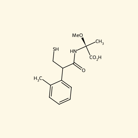 CO[C@](C)(NC(=O)C(CS)c1ccccc1C)C(=O)O